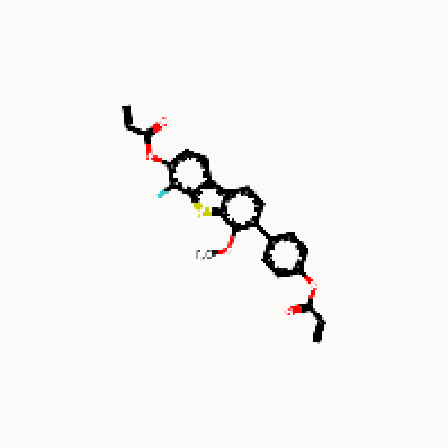 C=CC(=O)Oc1ccc(-c2ccc3c(sc4c(F)c(OC(=O)C=C)ccc43)c2OC(F)(F)F)cc1